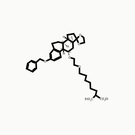 CCOC(=O)C(CCCCCCOCCO[C@H]1C[C@@]2(C)[C@@H](CCC23OCCO3)[C@@H]2CCc3cc(OCc4ccccc4)ccc3[C@H]21)C(=O)OCC